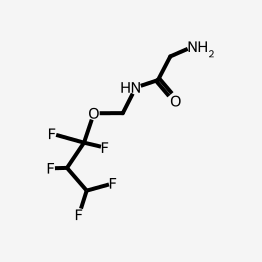 NCC(=O)NCOC(F)(F)C(F)C(F)F